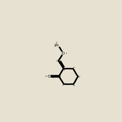 CC(C)O/C=C1\CCCCC1=O